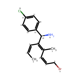 C\C=C/C(=C(C)\C=C/CBr)[C@H](N)c1ccc(Cl)cc1